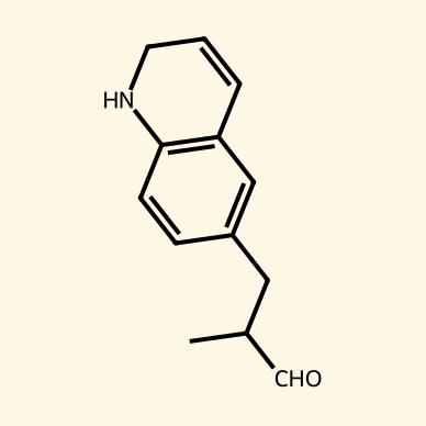 CC(C=O)Cc1ccc2c(c1)C=CCN2